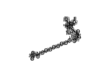 CC(C)[C@H](NC(=O)CCOCCOCCOCCOCCOCCOCCOCCOCCNC(=O)CCN1C(=O)C=CC1=O)C(=O)N[C@@H](C)C(=O)NCCSCC(=O)N(CCCN)[C@@H](c1nc(-c2cc(F)ccc2F)cn1Cc1ccccc1)C(C)(C)C